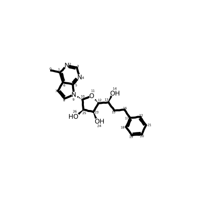 Cc1ncnc2c1ccn2[C@@H]1O[C@H]([C@@H](O)CCc2ccccc2)[C@@H](O)[C@H]1O